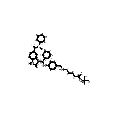 CN(C(=O)c1ccc2c(c1)/C(=C(/Nc1ccc(CNCCCCC(=O)OC(C)(C)C)cc1)c1ccccc1)C(=O)N2)c1ccccc1